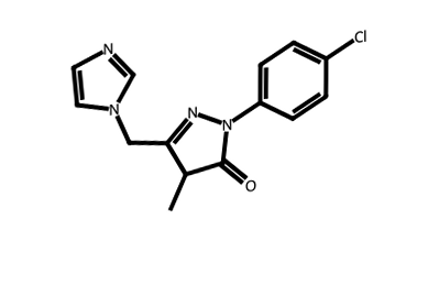 CC1C(=O)N(c2ccc(Cl)cc2)N=C1Cn1ccnc1